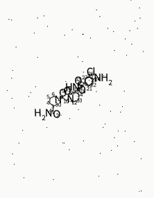 NC(=O)C1CCCN(C(=O)CN2CCC[C@H](NS(=O)(=O)c3ccc(N)c(Cl)c3)C2=O)C1